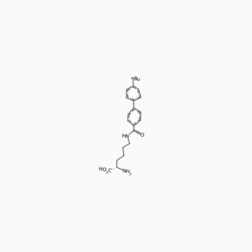 CCCCc1ccc(-c2ccc(C(=O)NCCCC[C@H](N)C(=O)O)cc2)cc1